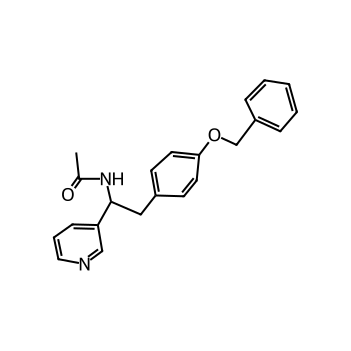 CC(=O)NC(Cc1ccc(OCc2ccccc2)cc1)c1cccnc1